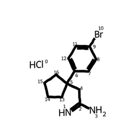 Cl.N=C(N)CC1(c2ccc(Br)cc2)CCCC1